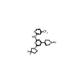 CC(=O)N1CC=C(c2cc(Nc3cc(C(F)(F)F)ccn3)nc(N3CCC(F)(F)C3)c2)CC1